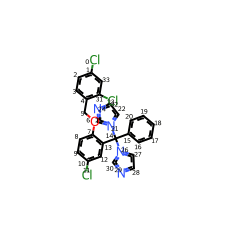 Clc1ccc(COc2ccc(Cl)cc2C(c2ccccc2)(n2ccnc2)n2ccnc2)c(Cl)c1